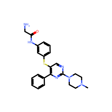 CN1CCN(c2ncc(Sc3cccc(NC(=O)CN)c3)c(-c3ccccc3)n2)CC1